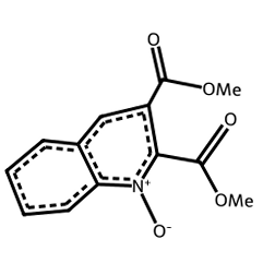 COC(=O)c1cc2ccccc2[n+]([O-])c1C(=O)OC